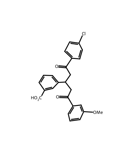 COc1cccc(C(=O)CC(CC(=O)c2ccc(Cl)cc2)c2cccc(C(=O)O)c2)c1